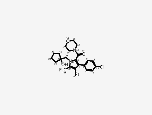 CCc1c(-c2ccc(Cl)cc2)c(C(=O)N2CCOCC2)n(CC2(O)CCCC2)c1C(F)(F)F